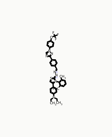 CCN(CC)c1ccc(-c2cs/c(=N\N=C\c3ccc(-c4ncn(-c5ccc(OC(F)(F)F)cc5)n4)cc3)n2-c2c(C)cccc2C)cc1